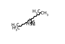 CC(C)CCCCCCN(CCCCCCC(C)C)C(=S)S.[Ni]